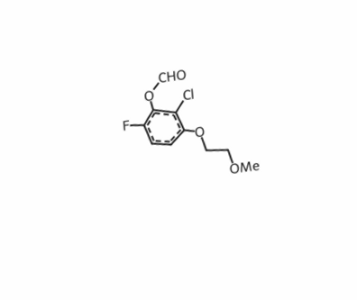 COCCOc1ccc(F)c(OC=O)c1Cl